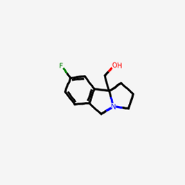 OCC12CCCN1Cc1ccc(F)cc12